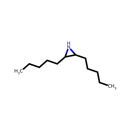 CCCCCC1NC1CCCCC